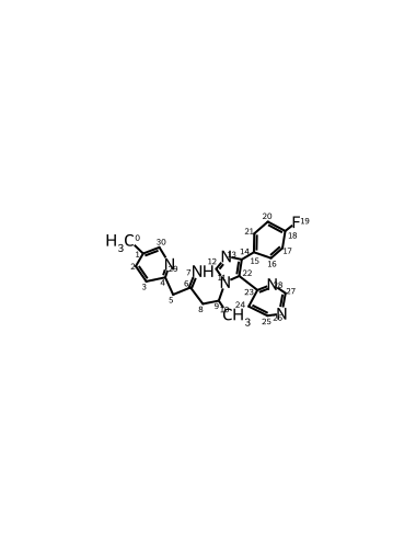 Cc1ccc(CC(=N)CC(C)n2cnc(-c3ccc(F)cc3)c2-c2ccncn2)nc1